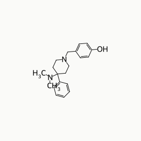 CN(C)C1(c2ccccc2)CCN(Cc2ccc(O)cc2)CC1